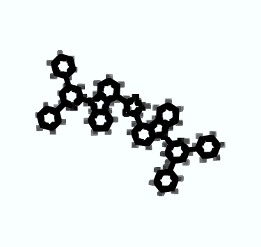 c1ccc(-c2cc(-c3ccccc3)nc(-n3c4ccccc4c4c(-c5nnc(-c6cccc7c6c6ccccc6n7-c6cc(-c7ccccc7)cc(-c7ccccc7)n6)o5)cccc43)c2)cc1